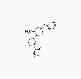 COC(=O)c1cccc(C2CCN(Cc3ccccc3)CC2C)c1